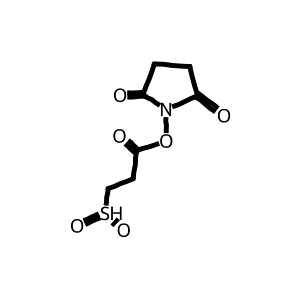 O=C(CC[SH](=O)=O)ON1C(=O)CCC1=O